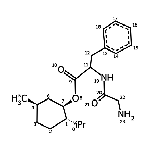 CC(C)[C@@H]1CC[C@@H](C)C[C@H]1OC(=O)C(Cc1ccccc1)NC(=O)CN